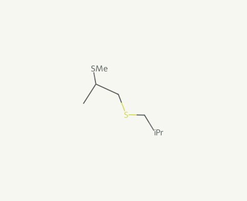 CSC(C)CSCC(C)C